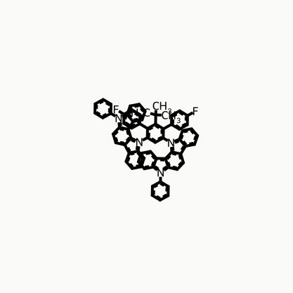 CC(C)(C)c1c(-c2ccc(F)cc2)c(-n2c3ccccc3c3ccc4c(c5ccccc5n4-c4ccccc4)c32)cc(-n2c3ccccc3c3ccc4c(c5ccccc5n4-c4ccccc4)c32)c1-c1ccc(F)cc1